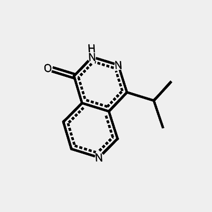 CC(C)c1n[nH]c(=O)c2ccncc12